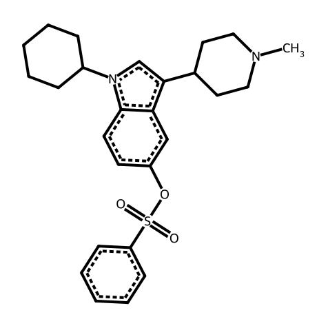 CN1CCC(c2cn(C3CCCCC3)c3ccc(OS(=O)(=O)c4ccccc4)cc23)CC1